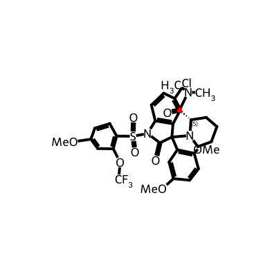 COc1ccc(S(=O)(=O)N2C(=O)C(c3cc(OC)ccc3OC)(N3CCCC[C@H]3C(=O)N(C)C)c3cc(Cl)ccc32)c(OC(F)(F)F)c1